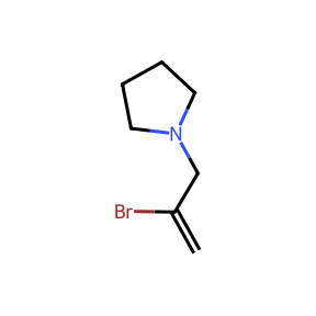 C=C(Br)CN1CCCC1